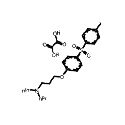 CCCN(CCC)CCCOc1ccc(S(=O)(=O)c2ccc(C)cc2)cc1.O=C(O)C(=O)O